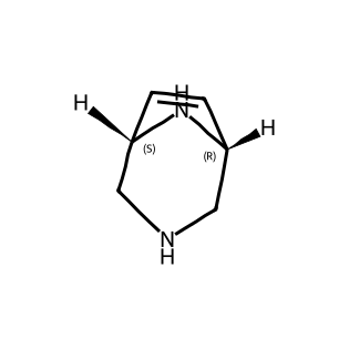 C1=C[C@H]2CNC[C@@H]1N2